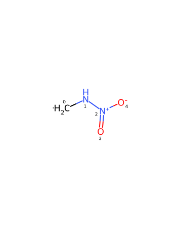 [CH2]N[N+](=O)[O-]